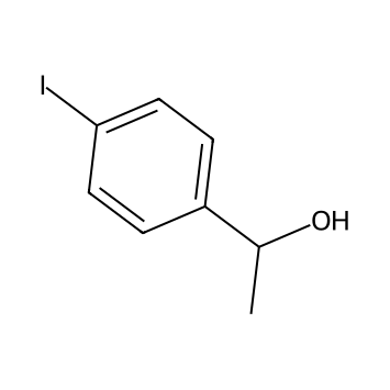 CC(O)c1ccc(I)cc1